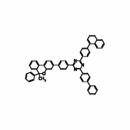 CC1(c2ccccc2)Oc2cc(-c3ccc(-c4nc(-c5ccc(-c6ccccc6)cc5)nc(-c5ccc(-c6cccc7ccccc67)cc5)n4)cc3)ccc2-c2ccccc21